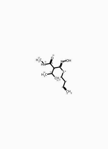 C=CCCS/C(=N\O)C(C(=O)NC)C(C)C